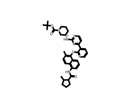 Cc1ccc2c(NC(=O)C3CCCC3C)cccc2c1Oc1ncccc1-c1ccnc(N[C@H]2CCCN(C(=O)OC(C)(C)C)C2)n1